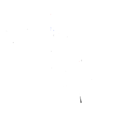 CC(C)=C[C@@H](C)OC(=O)CCc1ccc(C)cc1[N+](=O)[O-]